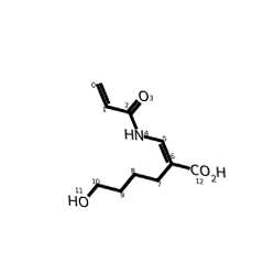 C=CC(=O)NC=C(CCCCO)C(=O)O